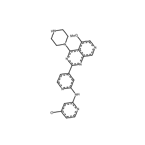 COc1cncc2nc(-c3ccnc(Nc4cc(Cl)ccn4)c3)nc(N3CCNCC3)c12